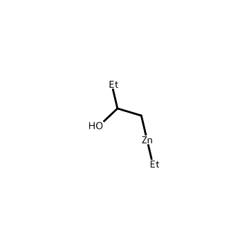 C[CH2][Zn][CH2]C(O)CC